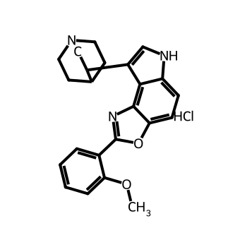 COc1ccccc1-c1nc2c(ccc3[nH]cc(C4CN5CCC4CC5)c32)o1.Cl